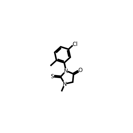 Cc1ccc(Cl)cc1N1C(=O)CN(C)C1=S